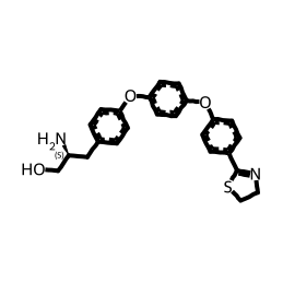 N[C@H](CO)Cc1ccc(Oc2ccc(Oc3ccc(C4=NCCS4)cc3)cc2)cc1